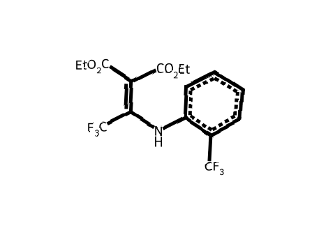 CCOC(=O)C(C(=O)OCC)=C(Nc1ccccc1C(F)(F)F)C(F)(F)F